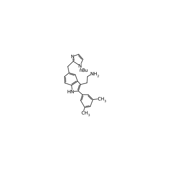 CCCCn1ccnc1Cc1ccc2[nH]c(-c3cc(C)cc(C)c3)c(CCN)c2c1